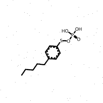 CCCCCc1ccc(SOP(=O)(O)O)cc1